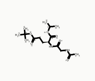 CC(=O)NCC(=O)N[C@@H](CCC(=O)OC(C)(C)C)C(=O)OC(C)C